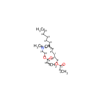 C=CC(=O)OCCCCCCCCCCCC.C=CC(=O)OCCN(C)C